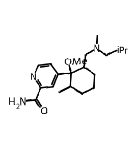 COC1(c2ccnc(C(N)=O)c2)C(C)CCCC1CN(C)CC(C)C